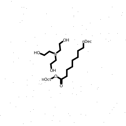 CCCCCCCCCCCCCCCCCC(=O)OCCCCCCCC.OCCN(CCO)CCO